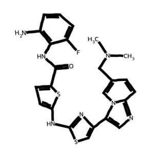 CN(C)Cc1ccc2ncc(-c3csc(Nc4ccc(C(=O)Nc5c(N)cccc5F)s4)n3)n2c1